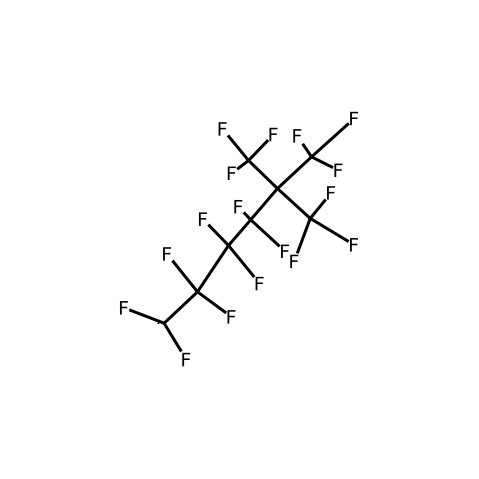 F[C](F)C(F)(F)C(F)(F)C(F)(F)C(C(F)(F)F)(C(F)(F)F)C(F)(F)F